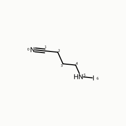 N#CCCCNI